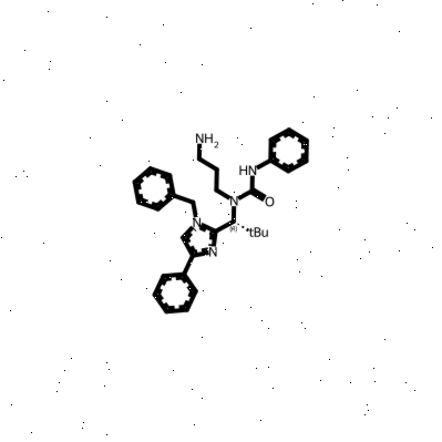 CC(C)(C)[C@H](c1nc(-c2ccccc2)cn1Cc1ccccc1)N(CCCN)C(=O)Nc1ccccc1